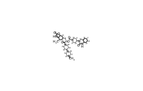 Cc1cc(C[C@@H](OC(=O)N2CCC(N3Cc4ccccc4NC3=O)CC2)C(=O)N2CCC(N3CCN(C)CC3)CC2)cc2oc(=O)[nH]c12